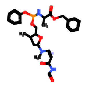 CC(NP(OCC1OC(N(C)/C=C\C(=O)NC=O)CC1C)Oc1ccccc1)C(=O)OCc1ccccc1